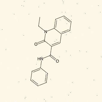 CCn1c(=O)c(C(=O)Nc2ccccc2)cc2ccccc21